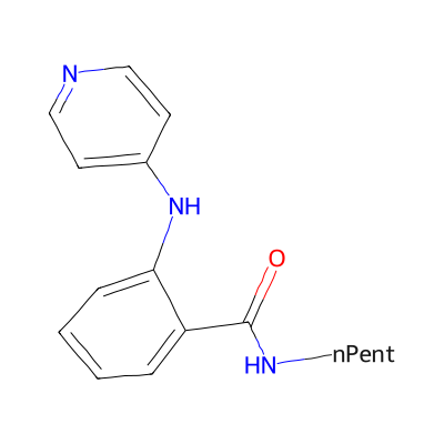 CCCCCNC(=O)c1ccccc1Nc1ccncc1